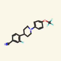 N#Cc1ccc(C2CCN(c3ccc(OC(F)(F)F)cc3)CC2)c(F)c1